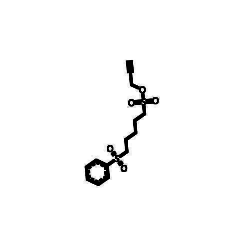 C#CCOS(=O)(=O)CCCCCS(=O)(=O)c1ccccc1